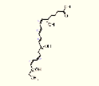 CC[C@@H](O)/C=C\C=C/C[C@@H](O)/C=C/C=C/C=C\[C@@H](O)CCCC(=O)O